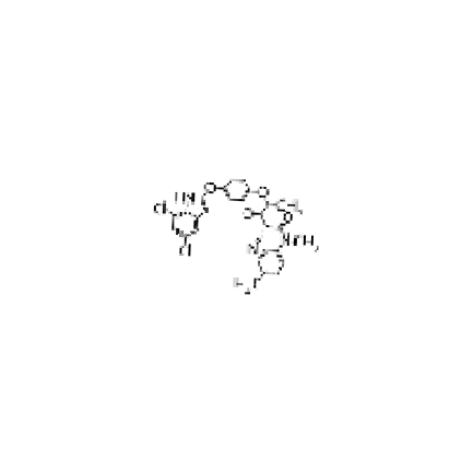 Cc1ccc(N(C)C(=O)[C@H](C#N)C(=O)C(C)Oc2ccc(Oc3cc4cc(Cl)cc(Cl)c4[nH]3)cc2)cc1